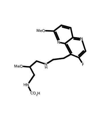 COc1ccc2ncc(F)c(CCNCC(CNC(=O)O)OC)c2n1